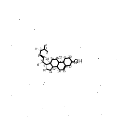 CC(C)[C@@H](C)C=C[C@@H](C)[C@H]1CCC2C3CC=C4C[C@@H](O)CC[C@]4(C)C3CC[C@@]21C